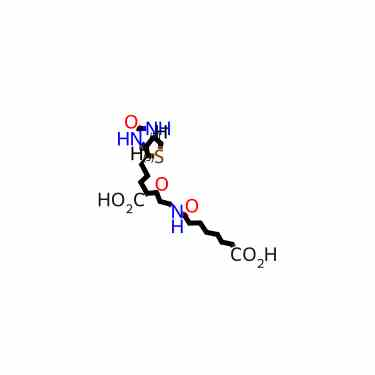 O=C(O)CCCCCCC(=O)NCCC(=O)C(CCC[C@@H]1SC[C@@H]2NC(=O)N[C@@H]21)C(=O)O